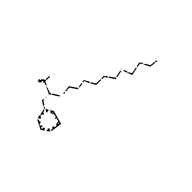 CCCCCCCCCCCN[C@@H](Cc1ccccc1)C(=O)O